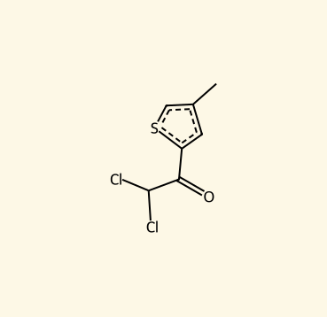 Cc1csc(C(=O)C(Cl)Cl)c1